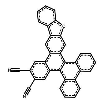 N#Cc1cc2c3cc4c(cc3c3c5ccccc5c5ccccc5c3c2cc1C#N)oc1ccccc14